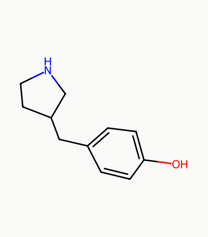 Oc1ccc(CC2CCNC2)cc1